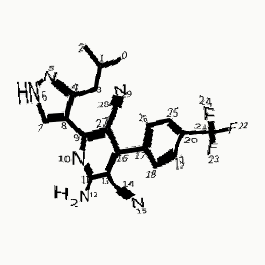 CC(C)Cc1n[nH]cc1-c1nc(N)c(C#N)c(-c2ccc(C(F)(F)F)cc2)c1C#N